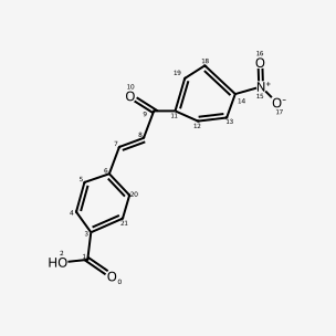 O=C(O)c1ccc(C=CC(=O)c2ccc([N+](=O)[O-])cc2)cc1